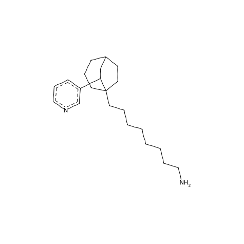 NCCCCCCCCC12CCCC(CC1)CC2c1cccnc1